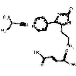 CC(N)C#N.CCCc1[nH]c(=O)oc1-c1ccncc1.O=C(O)/C=C/C(=O)O